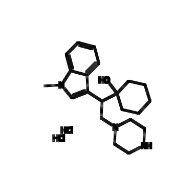 Cl.Cl.Cn1cc(C(CN2CCNCC2)C2(O)CCCCC2)c2ccccc21